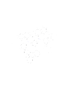 CC(C)(C)c1cc(N2c3cc(-c4cccc5c4ccc4ccccc45)cc4c3B(c3ccc5ccccc5c32)c2ccc3ccccc3c2N4c2cc(C(C)(C)C)cc(C(C)(C)C)c2)cc(C(C)(C)C)c1